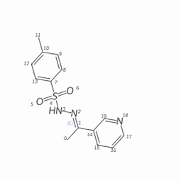 C/C(=N\NS(=O)(=O)c1ccc(C)cc1)c1cccnc1